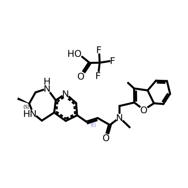 CC1=C(CN(C)C(=O)/C=C/c2cnc3c(c2)CN[C@@H](C)CN3)OC2C=CC=CC12.O=C(O)C(F)(F)F